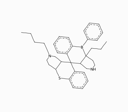 CCCCN1CCC2Sc3ccccc3C3(c4ccccc4B(c4ccccc4)C4(CCC)CCNCC43)C2C1